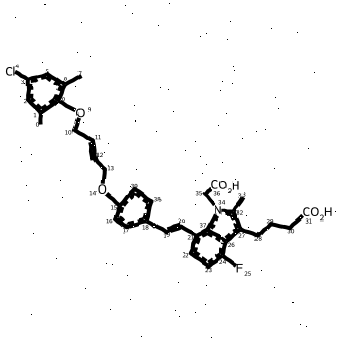 Cc1cc(Cl)cc(C)c1OCC=CCOc1ccc(C=Cc2ccc(F)c3c(CCCC(=O)O)c(C)n(CC(=O)O)c23)cc1